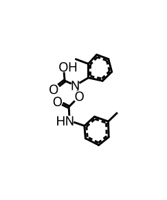 Cc1cccc(NC(=O)ON(C(=O)O)c2ccccc2C)c1